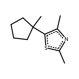 Cc1nc(C)c(C2(C)CCCC2)s1